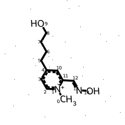 C[n+]1ccc(CCCCO)cc1/C=N/O